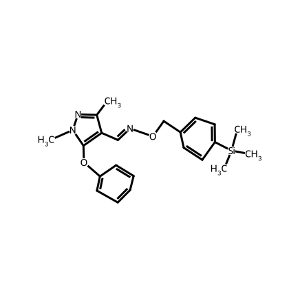 Cc1nn(C)c(Oc2ccccc2)c1C=NOCc1ccc([Si](C)(C)C)cc1